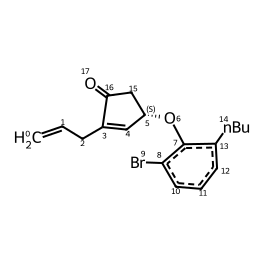 C=CCC1=C[C@@H](Oc2c(Br)cccc2CCCC)CC1=O